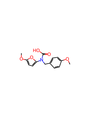 COc1ccc(CN(C(=O)O)c2ccc(OC)o2)cc1